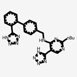 CCCCc1ncc(-c2nnn[nH]2)c(NCc2ccc(-c3ccccc3-c3nnn[nH]3)cc2)n1